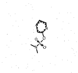 CN(C)S(=O)(=O)Oc1ccccn1